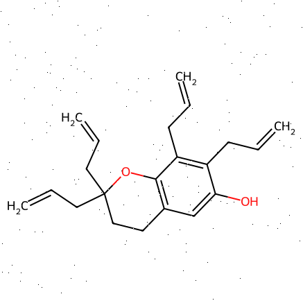 C=CCc1c(O)cc2c(c1CC=C)OC(CC=C)(CC=C)CC2